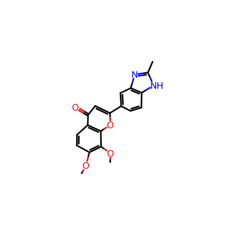 COc1ccc2c(=O)cc(-c3ccc4[nH]c(C)nc4c3)oc2c1OC